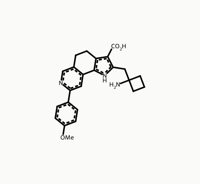 COc1ccc(-c2cc3c(cn2)CCc2c-3[nH]c(CC3(N)CCC3)c2C(=O)O)cc1